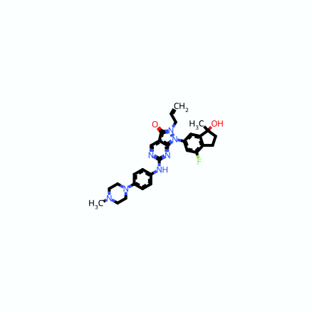 C=CCn1c(=O)c2cnc(Nc3ccc(N4CCN(C)CC4)cc3)nc2n1-c1cc(F)c2c(c1)C(C)(O)CC2